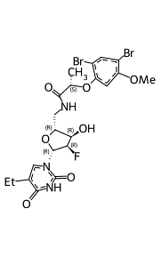 CCc1cn([C@@H]2O[C@H](CNC(=O)[C@H](C)Oc3cc(OC)c(Br)cc3Br)[C@@H](O)[C@H]2F)c(=O)[nH]c1=O